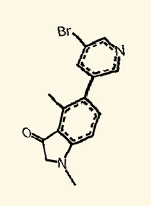 Cc1c(-c2cncc(Br)c2)ccc2c1C(=O)CN2C